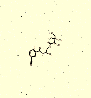 CC(CNC(=O)[C@H](O)C(C)(C)CO)NC(=O)c1cc(C#N)ccc1F